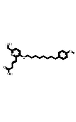 COc1ccc(CCCCCCCCOc2ccc(CO)nc2/C=C/CC(=O)O)cc1